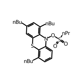 CCCCc1cc(CCCC)c2c(c1)Sc1c(CCCC)cccc1N2OS(=O)(=O)CCC